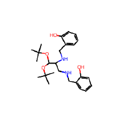 CC(C)(C)OC(OC(C)(C)C)C(CNCc1ccccc1O)NCc1ccccc1O